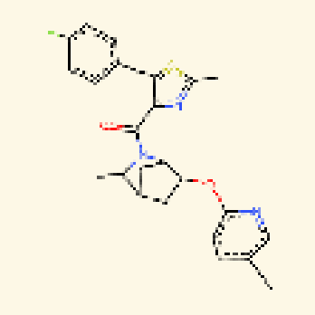 Cc1ccc(OC2CC3CC2N(C(=O)c2nc(C)sc2-c2ccc(F)cc2)C3C)nc1